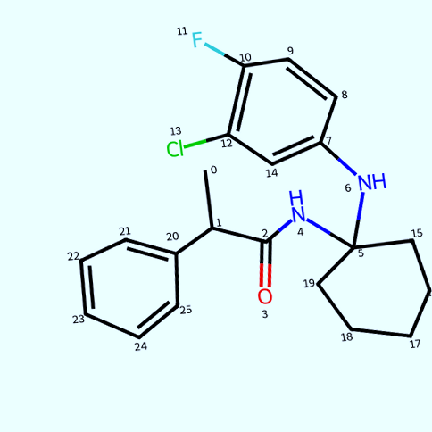 CC(C(=O)NC1(Nc2ccc(F)c(Cl)c2)C[CH]CCC1)c1ccccc1